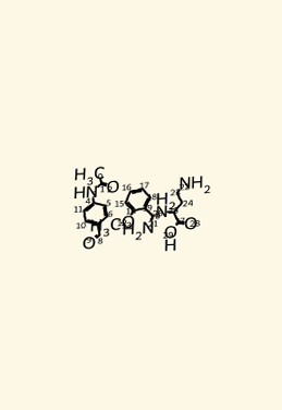 CC(=O)Nc1ccc(C=O)cc1.COc1ccccc1CN.NCCC(N)C(=O)O